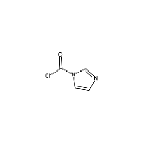 O=C(Cl)n1ccnc1